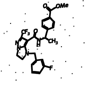 COC(=O)c1ccc(C(C)NC(=O)c2c(C(F)(F)F)nn3c2N(Cc2cccc(F)c2)CC3)cc1